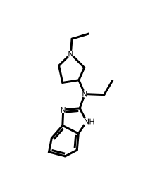 CCN1CCC(N(CC)c2nc3ccccc3[nH]2)C1